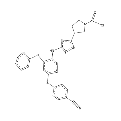 N#Cc1ccc(Sc2cnc(Nc3nc(C4CCN(C(=O)O)C4)ns3)c(Oc3ccccc3)c2)cc1